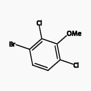 COc1c(Cl)ccc(Br)c1Cl